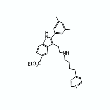 CCOC(=O)c1ccc2[nH]c(-c3cc(C)cc(C)c3)c(CCNCCCCc3ccncc3)c2c1